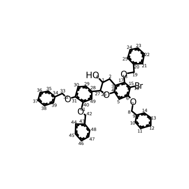 OC1Cc2c(cc(OCc3ccccc3)c(Br)c2OCc2ccccc2)OC1c1ccc(OCc2ccccc2)c(OCc2ccccc2)c1